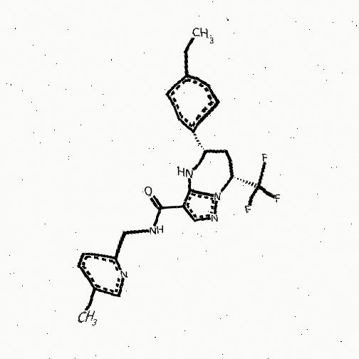 CCc1ccc([C@@H]2C[C@H](C(F)(F)F)n3ncc(C(=O)NCc4ccc(C)cn4)c3N2)cc1